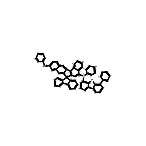 c1ccc(Nc2ccc3cc4c(cc3c2)C2(c3ccccc3-c3ccccc32)c2cc(N(c3ccccc3)c3cccc5c3oc3c(-c6ccccc6)cccc35)c3ccccc3c2-4)cc1